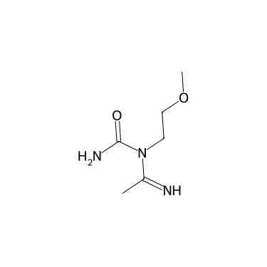 COCCN(C(C)=N)C(N)=O